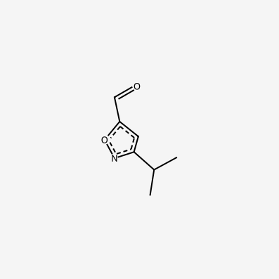 CC(C)c1cc(C=O)on1